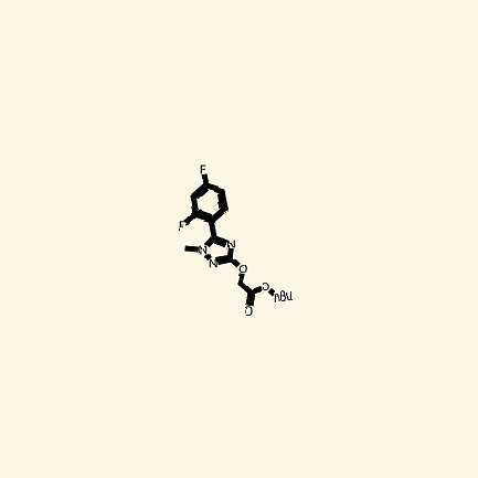 CCCCOC(=O)COc1nc(-c2ccc(F)cc2F)n(C)n1